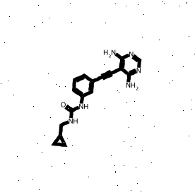 Nc1ncnc(N)c1C#Cc1cccc(NC(=O)NCC2CC2)c1